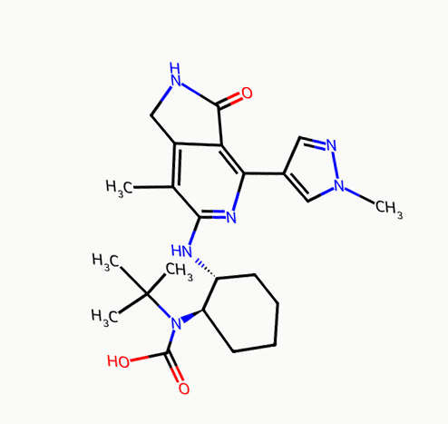 Cc1c(N[C@@H]2CCCC[C@H]2N(C(=O)O)C(C)(C)C)nc(-c2cnn(C)c2)c2c1CNC2=O